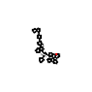 c1ccc(-c2nc(-c3ccc4c(c3)C(c3ccccc3)(c3ccccc3)c3ccccc3-4)cc(-c3cc4sc5cc(-c6ccc(-c7cccc8ccccc78)cc6)ccc5c4c4ccccc34)n2)cc1